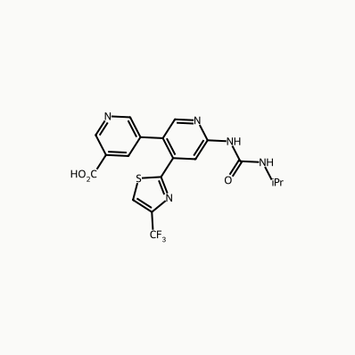 CC(C)NC(=O)Nc1cc(-c2nc(C(F)(F)F)cs2)c(-c2cncc(C(=O)O)c2)cn1